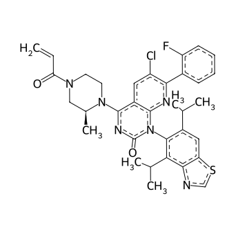 C=CC(=O)N1CCN(c2nc(=O)n(-c3c(C(C)C)cc4scnc4c3C(C)C)c3nc(-c4ccccc4F)c(Cl)cc23)[C@@H](C)C1